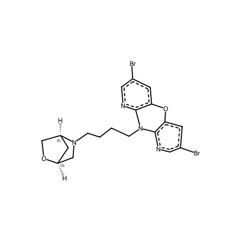 Brc1cnc2c(c1)Oc1cc(Br)cnc1N2CCCCN1C[C@@H]2C[C@H]1CO2